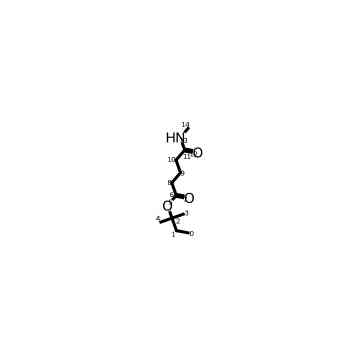 CCC(C)(C)OC(=O)CCCC(=O)NC